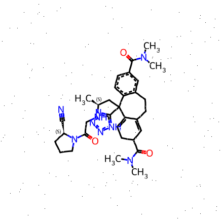 C[C@@H](CC1(c2nnn[nH]2)C2=CCC(C(=O)N(C)C)C=C2CCc2cc(C(=O)N(C)C)ccc21)NCC(=O)N1CCC[C@H]1C#N